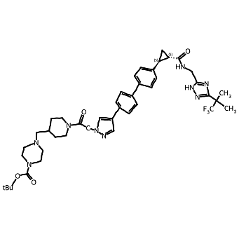 CC(C)(C)OC(=O)N1CCN(CC2CCN(C(=O)Cn3cc(-c4ccc(-c5ccc([C@H]6C[C@@H]6C(=O)NCc6nc(C(C)(C)C(F)(F)F)n[nH]6)cc5)cc4)cn3)CC2)CC1